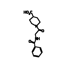 O=C(NCC(=O)N1CCC(C(=O)O)CC1)c1ccccc1